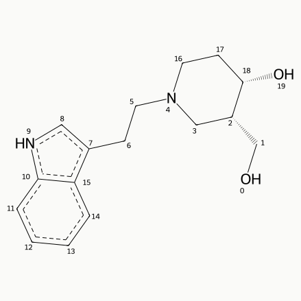 OC[C@@H]1CN(CCc2c[nH]c3ccccc23)CC[C@@H]1O